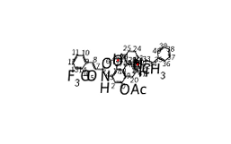 CC(=O)Oc1cc(NC(=O)C(=Cc2ccccc2)OC(F)(F)F)c2c3c1C[C@@H]1[C@@H]4CCC[C@H](O2)[C@]34CC[N+]1(C)CCc1ccccc1